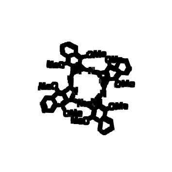 COc1c2c(c(OC)c3ccccc13)-c1nc-2nc2[nH]c(nc3nc(nc4c5c(OC)c6ccccc6c(OC)c5c(n1)n4I)-c1c-3c(OC)c3ccccc3c1OC)c1c(OC)c3ccccc3c(OC)c21